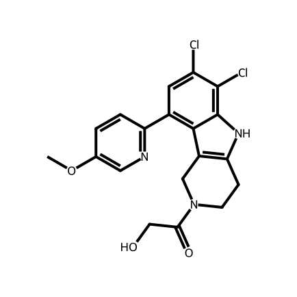 COc1ccc(-c2cc(Cl)c(Cl)c3[nH]c4c(c23)CN(C(=O)CO)CC4)nc1